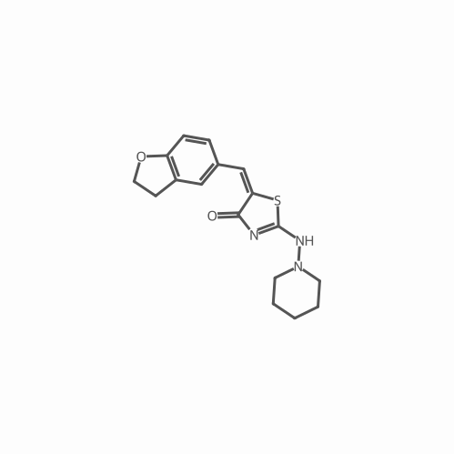 O=C1N=C(NN2CCCCC2)SC1=Cc1ccc2c(c1)CCO2